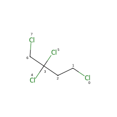 ClCCC(Cl)(Cl)CCl